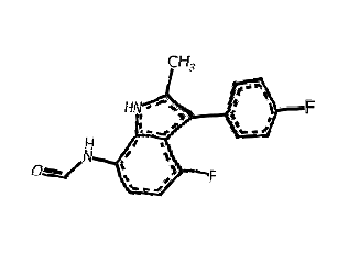 Cc1[nH]c2c(NC=O)ccc(F)c2c1-c1ccc(F)cc1